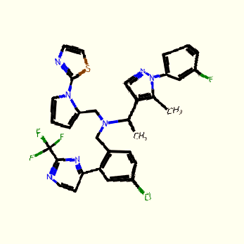 Cc1c(C(C)N(Cc2ccc(Cl)cc2-c2ccnc(C(F)(F)F)n2)Cc2cccn2-c2nccs2)cnn1-c1cccc(F)c1